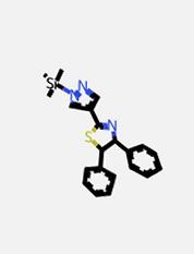 C[Si](C)(C)n1cc(C2=NC(c3ccccc3)C(c3ccccc3)S2)cn1